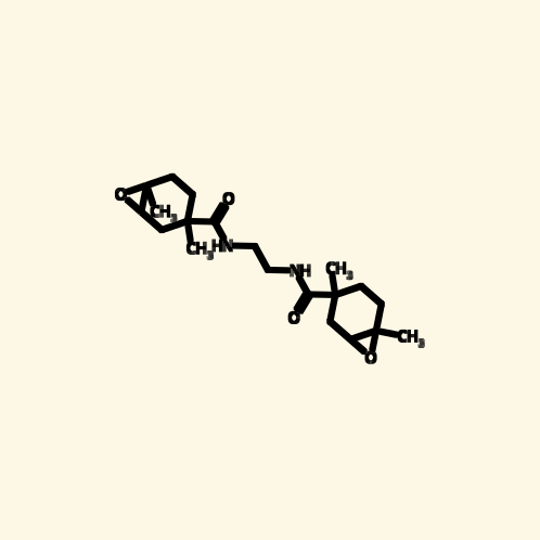 CC1(C(=O)NCCNC(=O)C2(C)CCC3(C)OC3C2)CCC2(C)OC2C1